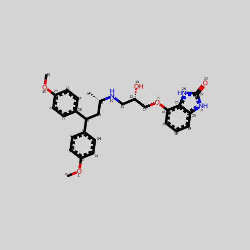 COc1ccc(C(C[C@H](C)NC[C@H](O)COc2cccc3[nH]c(=O)[nH]c23)c2ccc(OC)cc2)cc1